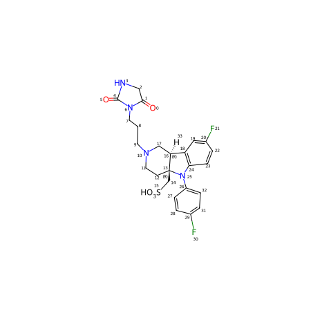 O=C1CNC(=O)N1CCCN1CC[C@]2(CS(=O)(=O)O)[C@@H](C1)c1cc(F)ccc1N2c1ccc(F)cc1